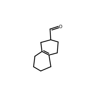 O=CC1CCC2=C(CCCC2)C1